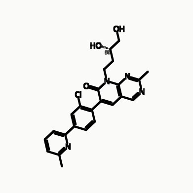 Cc1cccc(-c2ccc(-c3cc4cnc(C)nc4n(CC[C@H](O)CO)c3=O)c(Cl)c2)n1